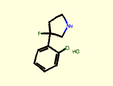 Cl.FC1(c2ccccc2Cl)CCNC1